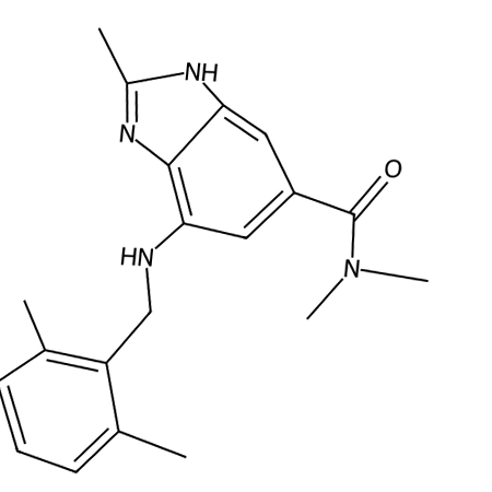 Cc1nc2c(NCc3c(C)cccc3C)cc(C(=O)N(C)C)cc2[nH]1